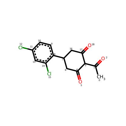 CC(=O)C1C(=O)CC(c2ccc(Cl)cc2Cl)CC1=O